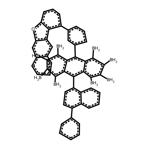 Bc1c(B)c(B)c2c(-c3ccc(-c4ccccc4)c4ccccc34)c3c(B)c(B)c(B)c(B)c3c(-c3cccc(-c4cccc5oc6cc7ccccc7cc6c45)c3)c2c1B